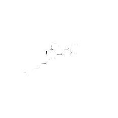 C=C(C)C(=O)O.CCCCCCCCCCN(C)C